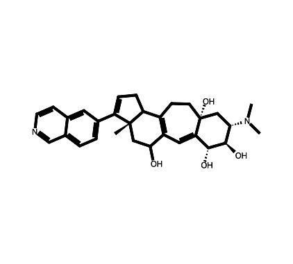 CN(C)[C@H]1C[C@]2(O)CCC3=C(C=C2[C@@H](O)[C@@H]1O)C(O)C[C@]1(C)C(c2ccc4cnccc4c2)=CCC31